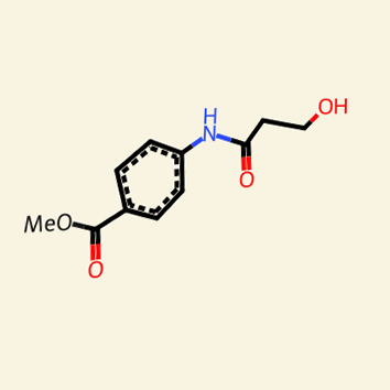 COC(=O)c1ccc(NC(=O)CCO)cc1